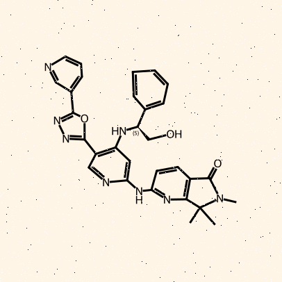 CN1C(=O)c2ccc(Nc3cc(N[C@H](CO)c4ccccc4)c(-c4nnc(-c5cccnc5)o4)cn3)nc2C1(C)C